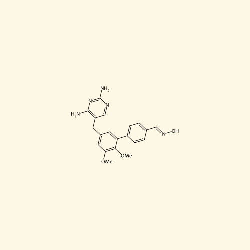 COc1cc(Cc2cnc(N)nc2N)cc(-c2ccc(C=NO)cc2)c1OC